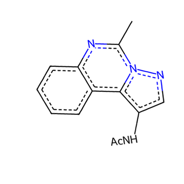 CC(=O)Nc1cnn2c(C)nc3ccccc3c12